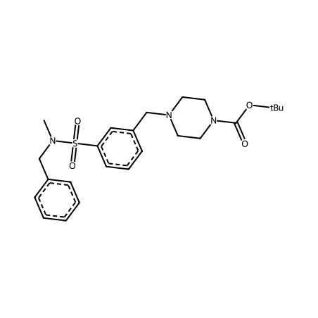 CN(Cc1ccccc1)S(=O)(=O)c1cccc(CN2CCN(C(=O)OC(C)(C)C)CC2)c1